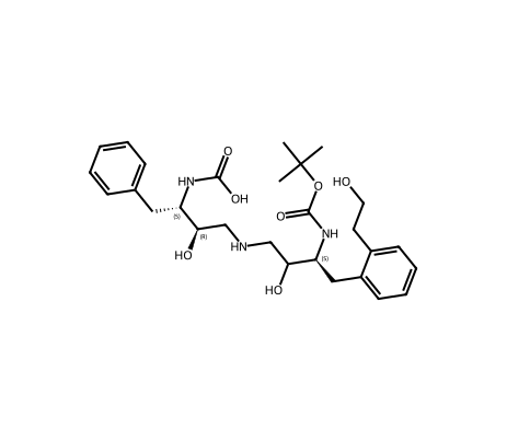 CC(C)(C)OC(=O)N[C@@H](Cc1ccccc1CCO)C(O)CNC[C@@H](O)[C@H](Cc1ccccc1)NC(=O)O